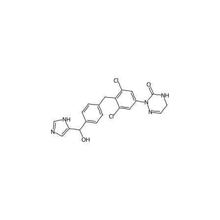 O=C1NCC=NN1c1cc(Cl)c(Cc2ccc(C(O)c3cnc[nH]3)cc2)c(Cl)c1